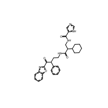 O=C(NCC(C(=O)NCCC(C(=O)c1nc2ccccc2o1)c1ccccc1)C1CCCCC1)c1cnc[nH]1